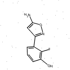 Nc1cc(-c2cccc(O)c2F)no1